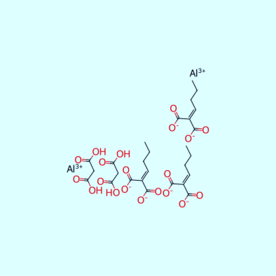 CCCC=C(C(=O)[O-])C(=O)[O-].CCCC=C(C(=O)[O-])C(=O)[O-].CCCC=C(C(=O)[O-])C(=O)[O-].O=C(O)CC(=O)O.O=C(O)CC(=O)O.[Al+3].[Al+3]